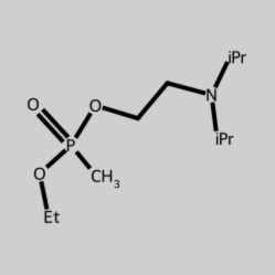 CCOP(C)(=O)OCCN(C(C)C)C(C)C